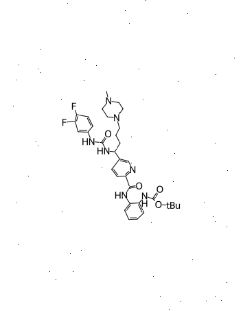 CN1CCN(CCCC(NC(=O)Nc2ccc(F)c(F)c2)c2ccc(C(=O)Nc3ccccc3NC(=O)OC(C)(C)C)nc2)CC1